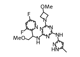 COCC(Nc1nc(Nc2cc(C)[nH]n2)nc(N2CC(OC)C2)n1)c1ncc(F)cc1F